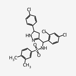 Cc1ccc(S(=O)(=O)NC(C2=NNC(c3ccc(Cl)cc3)C2)c2ccc(Cl)cc2Cl)cc1C